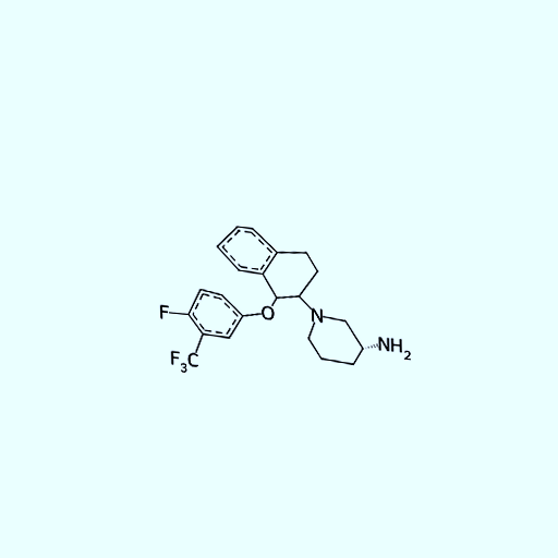 N[C@@H]1CCCN(C2CCc3ccccc3C2Oc2ccc(F)c(C(F)(F)F)c2)C1